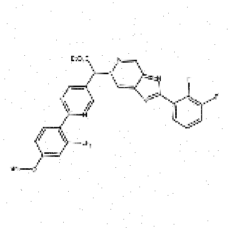 CCCOc1ccc(-c2ncc(C(C(=O)OCC)n3cc4nc(-c5cccc(F)c5F)nc-4cn3)cn2)c(C(F)(F)F)c1